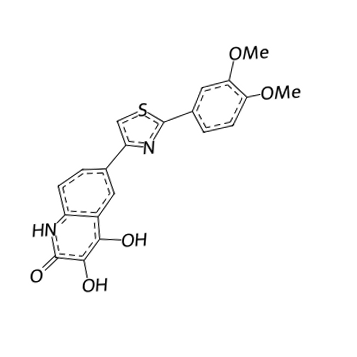 COc1ccc(-c2nc(-c3ccc4[nH]c(=O)c(O)c(O)c4c3)cs2)cc1OC